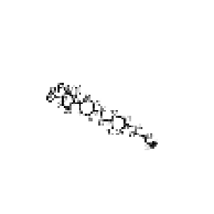 CCCCCOc1ccc(C2CCC(CCC3CCC(CCC=CF)CC3)CC2)cc1